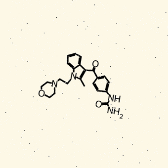 Cc1c(C(=O)c2ccc(NC(N)=O)cc2)c2ccccc2n1CCN1CCOCC1